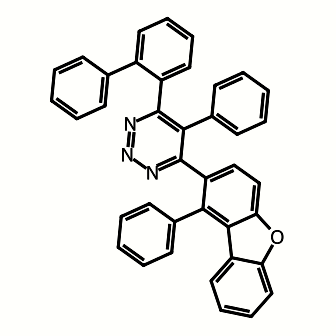 c1ccc(-c2ccccc2-c2nnnc(-c3ccc4oc5ccccc5c4c3-c3ccccc3)c2-c2ccccc2)cc1